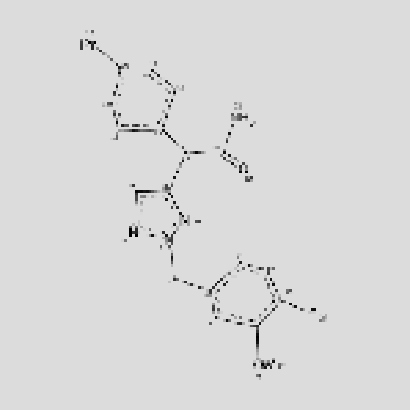 COc1cc(Cn2ncc(C(C(N)=O)c3ccc(C(C)C)cc3)n2)ccc1F